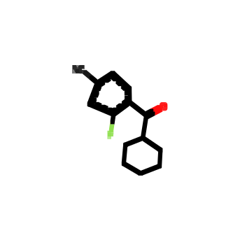 N#Cc1ccc(C(=O)C2CCCCC2)c(F)c1